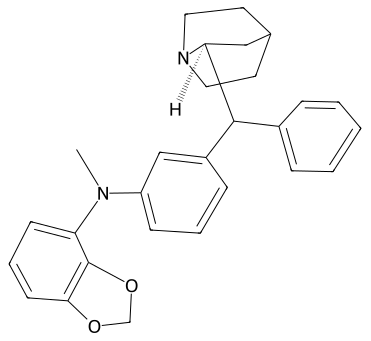 CN(c1cccc(C(c2ccccc2)[C@@H]2CC3CCN2CC3)c1)c1cccc2c1OCO2